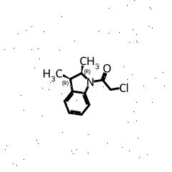 C[C@@H]1c2ccccc2N(C(=O)CCl)[C@@H]1C